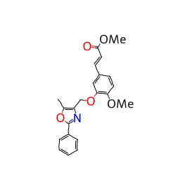 COC(=O)C=Cc1ccc(OC)c(OCc2nc(-c3ccccc3)oc2C)c1